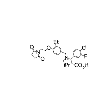 CCc1cc(CN(CC(C)C)C(CC(=O)O)c2ccc(Cl)c(F)c2)ccc1OCCN1C(=O)CCC1=O